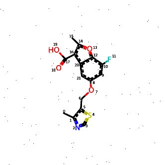 Cc1ncsc1COc1cc(F)c2oc(C)c(C(=O)O)c2c1